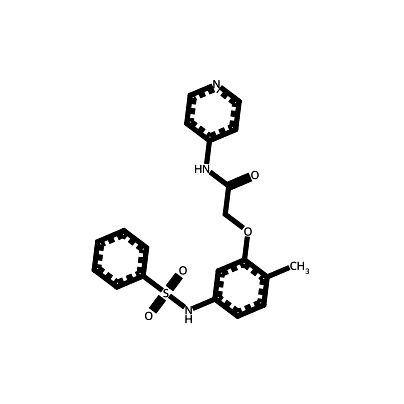 Cc1ccc(NS(=O)(=O)c2ccccc2)cc1OCC(=O)Nc1ccncc1